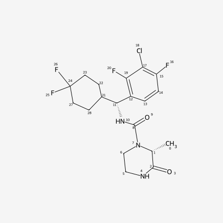 C[C@@H]1C(=O)NCCN1C(=O)N[C@@H](c1ccc(F)c(Cl)c1F)C1CCC(F)(F)CC1